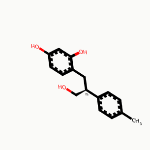 Cc1ccc([C@@H](CO)Cc2ccc(O)cc2O)cc1